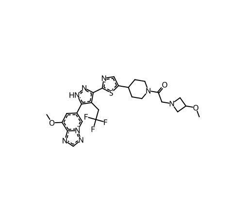 COc1cc(-c2[nH]nc(-c3ncc(C4CCN(C(=O)CN5CC(OC)C5)CC4)s3)c2CC(F)(F)F)cn2ncnc12